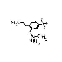 C=CCc1ccc(C(F)(F)F)cc1O[SiH](C)C